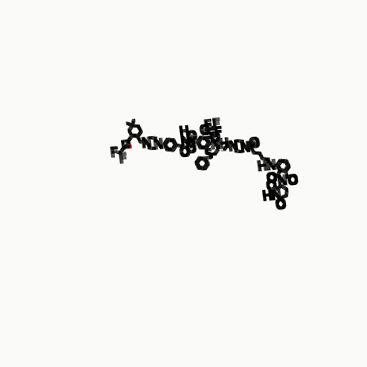 CC1(C)CCC(CN2CCN(c3ccc(C(=O)NS(=O)(=O)c4ccc(N[C@H](CCN5CCN(C(=O)CCCCNc6cccc7c6C(=O)N(C6CCC(=O)NC6=O)C7=O)CC5)CSc5ccccc5)c(S(=O)(=O)C(F)(F)F)c4)cc3)CC2)=C(C23CC(C(F)F)(C2)C3)C1